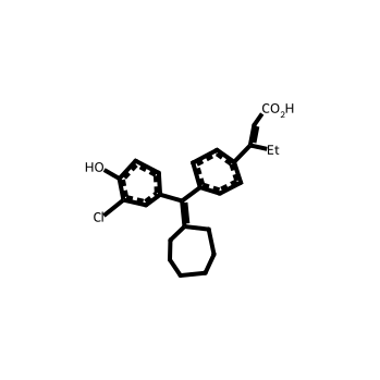 CC/C(=C\C(=O)O)c1ccc(C(=C2CCCCCC2)c2ccc(O)c(Cl)c2)cc1